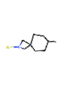 CC1CCC2(CC1)CN(S)C2